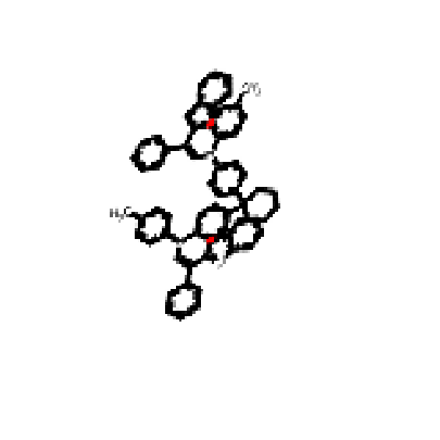 Cc1ccc(N(/C=C(/c2ccccc2)c2cc3ccccc3o2)c2ccc(C3(c4ccc(N(/C=C(/c5ccccc5)c5cc6ccccc6o5)c5ccc(C)cc5)cc4)CCCCC3)cc2)cc1